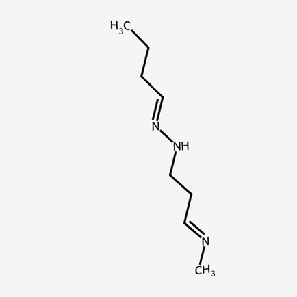 CCC/C=N/NCC/C=N/C